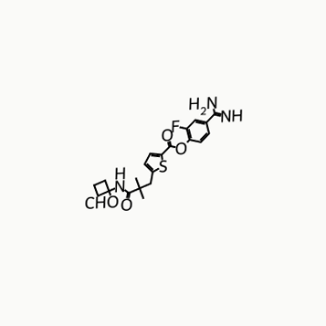 CC(C)(Cc1ccc(C(=O)Oc2ccc(C(=N)N)cc2F)s1)C(=O)NC1(C=O)CCC1